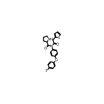 O=C(Cc1cccs1)N(C(=O)C1CCCN1)c1ccc(Oc2ccc(F)cc2)cc1